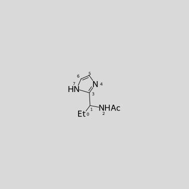 CCC(NC(C)=O)c1ncc[nH]1